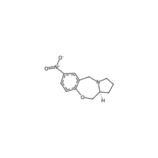 O=[N+]([O-])c1ccc2c(c1)CN1CCC[C@H]1CO2